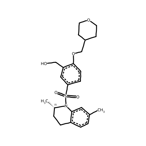 Cc1ccc2c(c1)N(S(=O)(=O)c1ccc(OCC3CCOCC3)c(CO)c1)[C@@H](C)CC2